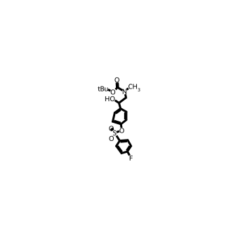 CN(CC(O)c1ccc(OS(=O)(=O)c2ccc(F)cc2)cc1)C(=O)OC(C)(C)C